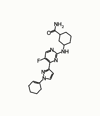 NC(=O)C1CCCC(Nc2ncc(F)c(-c3ccn(C4=CCCCC4)n3)n2)C1